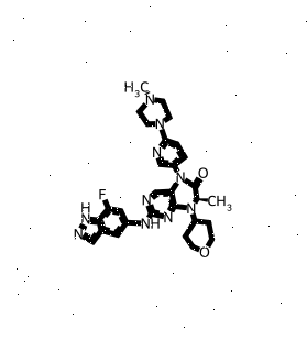 C[C@@H]1C(=O)N(c2ccc(N3CCN(C)CC3)nc2)c2cnc(Nc3cc(F)c4[nH]ncc4c3)nc2N1C1CCOCC1